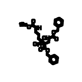 CC(C)(C)OC(=O)NCCCC(O)([PH2]=O)C(CCC(=O)OCc1ccccc1)C(=O)OCc1ccccc1